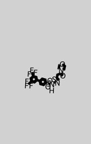 O=C(Cc1cnc(NS(=O)(=O)c2ccc(-c3cc(C(F)(F)F)cc(C(F)(F)F)c3)cc2)s1)N1CCOCC1